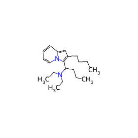 CCCCc1cc2ccccn2c1[C](CCC)N(CC)CC